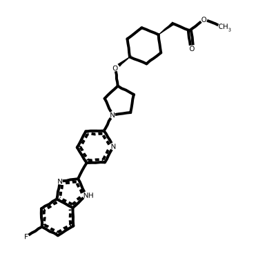 COC(=O)C[C@H]1CC[C@@H](OC2CCN(c3ccc(-c4nc5cc(F)ccc5[nH]4)cn3)C2)CC1